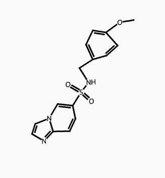 COc1ccc(CNS(=O)(=O)c2ccc3nccn3c2)cc1